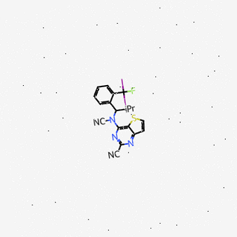 CC(C)C(c1ccccc1C(F)(I)I)N(C#N)c1nc(C#N)nc2ccsc12